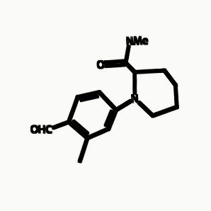 CNC(=O)C1CCCCN1c1ccc(C=O)c(C)c1